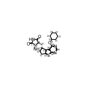 NN1C(=O)NC(=O)[C@H]1C[C@H]1CCc2sc3ncnc(OC4CCCCC4)c3c21